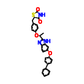 CC(Oc1ccc(CC2SC(=O)NC2=O)cc1)c1nc2ccc(Oc3ccc(-c4ccccc4)cc3)cc2[nH]1